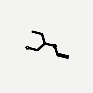 C=COC(CC)C[O]